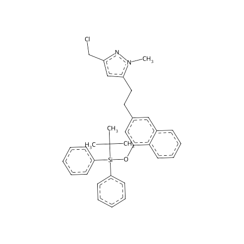 Cn1nc(CCl)cc1CCc1cc(O[Si](c2ccccc2)(c2ccccc2)C(C)(C)C)c2ccccc2c1